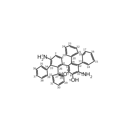 Nc1ccc(-c2c(O)c(O)c(N)c(-c3ccccc3)c2-c2ccccc2)c(-c2ccccc2)c1-c1ccccc1